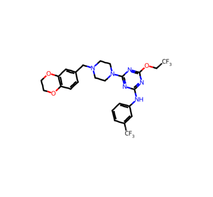 FC(F)(F)COc1nc(Nc2cccc(C(F)(F)F)c2)nc(N2CCN(Cc3ccc4c(c3)OCCO4)CC2)n1